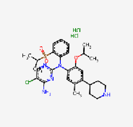 Cc1cc(N(c2ncc(Cl)c(N)n2)c2ccccc2S(=O)(=O)C(C)C)c(OC(C)C)cc1C1CCNCC1.Cl.Cl